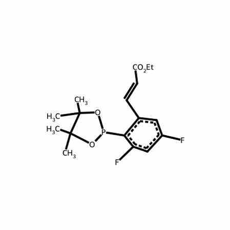 CCOC(=O)/C=C/c1cc(F)cc(F)c1P1OC(C)(C)C(C)(C)O1